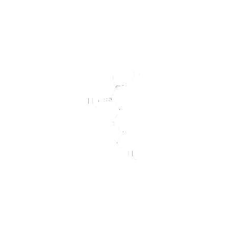 C=CC=CCC(=C)C(=O)OCC